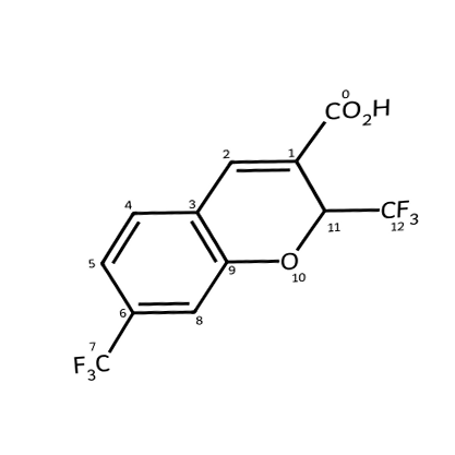 O=C(O)C1=Cc2ccc(C(F)(F)F)cc2OC1C(F)(F)F